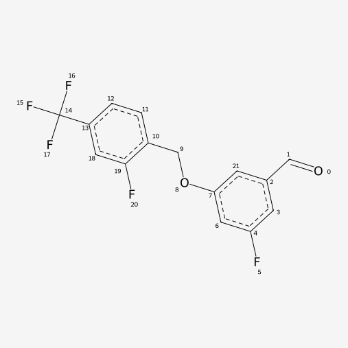 O=Cc1cc(F)cc(OCc2ccc(C(F)(F)F)cc2F)c1